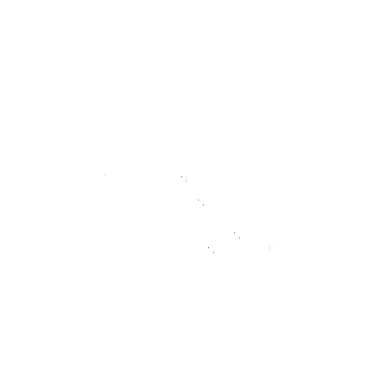 Cc1n2nc(S(=O)(=O)Cl)ccc2n[n+]1C